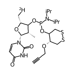 [2H]C[C@H]1O[C@@H](n2ccc(=O)[nH]c2=O)[C@@H](C)C1OP(OC1CSSC[C@@H]1OCC#C)N(C(C)C)C(C)C